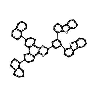 c1ccc2c(-c3ccc4c(c3)c3cc(-c5cccc6ccccc56)ccc3c3nc(-c5cc(-c6cccc7c6oc6ccccc67)cc(-c6cccc7c6oc6ccccc67)c5)cnc43)cccc2c1